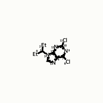 CCC(CC)n1cnc2c(Cl)nc(Cl)nc21